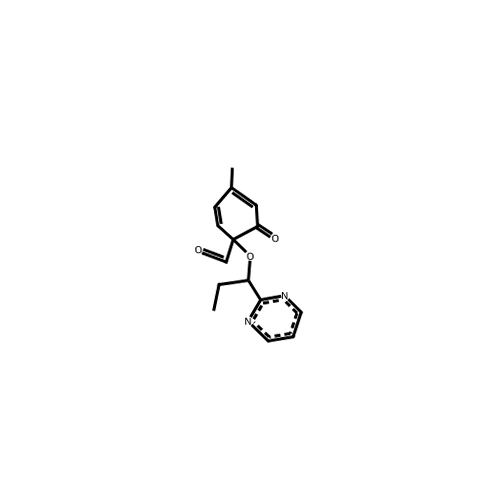 CCC(OC1(C=O)C=CC(C)=CC1=O)c1ncccn1